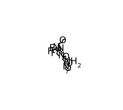 COCCc1nc2c(c(C(F)(F)F)n1)CCN(C(=O)C[C@H](N)CN1C[C@H](C)CCC1=O)C2